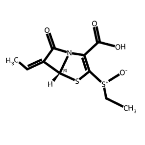 CC=C1C(=O)N2C(C(=O)O)=C([S+]([O-])CC)S[C@H]12